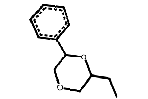 CCC1COCC(c2ccccc2)O1